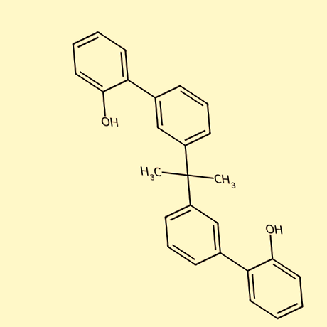 CC(C)(c1cccc(-c2ccccc2O)c1)c1cccc(-c2ccccc2O)c1